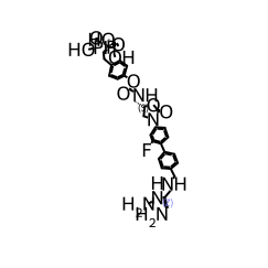 N/C=C(/CNCc1ccc(-c2ccc(N3C[C@H](CNC(=O)Oc4ccc(CC([PH](=O)O)P(=O)(O)O)cc4)OC3=O)cc2F)cc1)NN